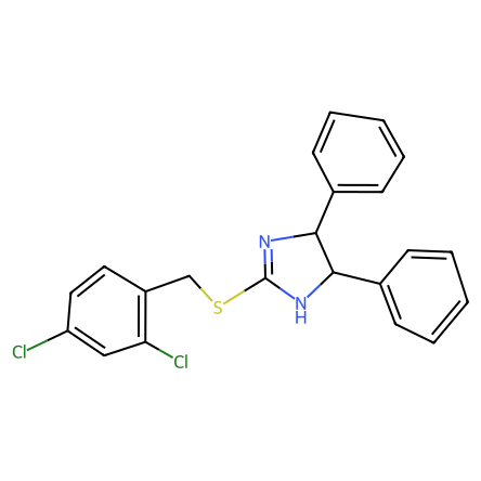 Clc1ccc(CSC2=NC(c3ccccc3)C(c3ccccc3)N2)c(Cl)c1